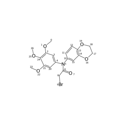 COc1cc(N(C(=O)CBr)c2ccc3c(c2)OCCO3)cc(OC)c1OC